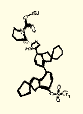 CC(C)(C)OC(=O)N1CCC[C@H]1c1ncc(-c2ccc(-c3ccc(OS(=O)(=O)C(F)(F)F)c4c3CC3(CCCC3)C4)c3c2CC2(CCCCC2)C3)[nH]1